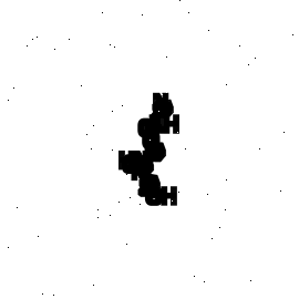 Cc1cc(-c2cc(-c3cccc(OCC(=O)NCc4cccnc4)c3)[nH]c(=O)n2)ccc1O